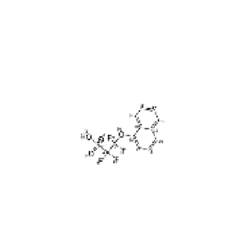 O=S(=O)(O)C(F)(F)C(F)(F)Oc1cccc2ccccc12